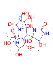 O=C1NC(O)C(O)N1C(C1(O)C(O)NC(=O)N1CCO)C1(O)C(O)NC(=O)N1CCO